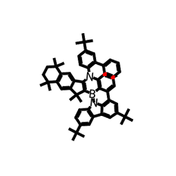 Cc1cc2c3c(c1)N(c1ccc(C(C)(C)C)cc1-c1ccccc1)C1=C(B3n3c4ccc(C(C)(C)C)cc4c4cc(C(C)(C)C)cc-2c43)C(C)(C)c2cc3c(cc21)C(C)(C)CCC3(C)C